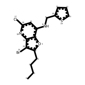 CCCCc1oc2c(NCc3cccs3)cc(Cl)nc2c1Br